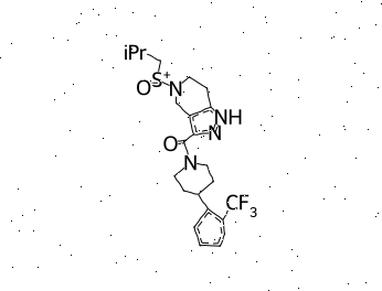 CC(C)C[S+]([O-])N1CCc2[nH]nc(C(=O)N3CCC(c4ccccc4C(F)(F)F)CC3)c2C1